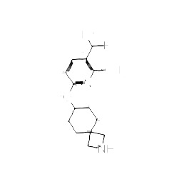 Cc1nc(OC2CCC3(CC2)CNC3)ccc1C(F)F